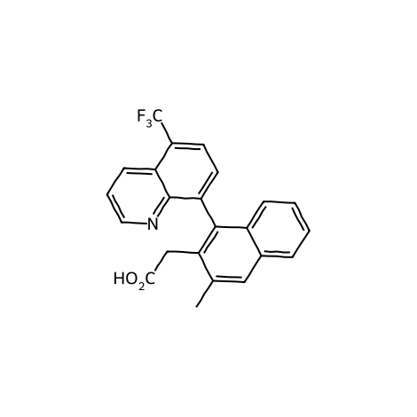 Cc1cc2ccccc2c(-c2ccc(C(F)(F)F)c3cccnc23)c1CC(=O)O